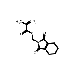 C=C(C)C(=O)OCN1C(=O)C2=C(CCCC2)C1=O